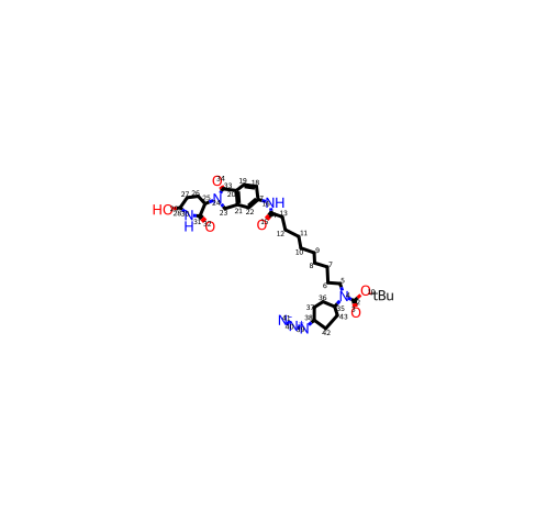 CC(C)(C)OC(=O)N(CCCCCCCCCC(=O)Nc1ccc2c(c1)CN(C1CCC(O)NC1=O)C2=O)C1CCC(N=[N+]=[N-])CC1